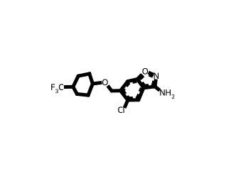 Nc1noc2cc(COC3CCC(C(F)(F)F)CC3)c(Cl)cc12